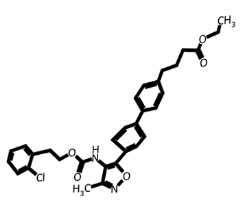 CCOC(=O)CCCc1ccc(-c2ccc(-c3onc(C)c3NC(=O)OCCc3ccccc3Cl)cc2)cc1